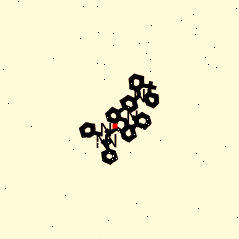 Cc1cccc(-c2ccc(N3c4ccccc4C(C)(C)c4ccccc43)cc2)c1-c1nc2ccccc2c2cccc(Cc3nc(-c4ccccc4)nc(-c4ccccc4)n3)c12